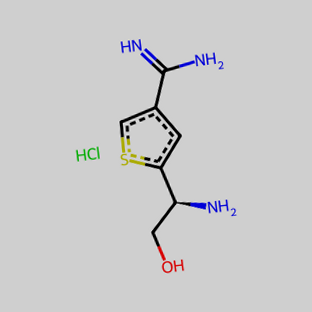 Cl.N=C(N)c1csc([C@@H](N)CO)c1